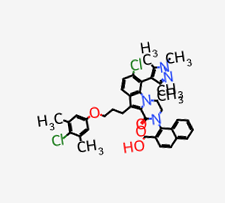 Cc1cc(OCCCc2c3n(c4c(-c5c(C)nn(C)c5C)c(Cl)ccc24)[C@H](C)CN(c2c(C(=O)O)ccc4ccccc24)C3=O)cc(C)c1Cl